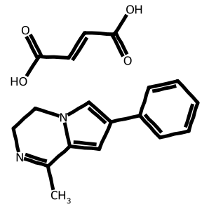 CC1=NCCn2cc(-c3ccccc3)cc21.O=C(O)C=CC(=O)O